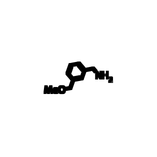 COCc1cccc(CN)c1